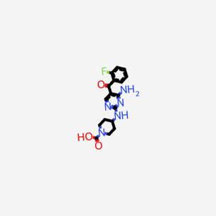 Nc1nc(NC2CCN(C(=O)O)CC2)ncc1C(=O)c1ccccc1F